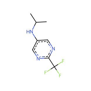 CC(C)Nc1cnc(C(F)(F)F)nc1